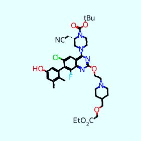 CCOC(=O)COCC1CCN(CCOc2nc(N3CCN(C(=O)OC(C)(C)C)[C@@H](CC#N)C3)c3cc(Cl)c(-c4cc(O)cc(C)c4C)c(F)c3n2)CC1